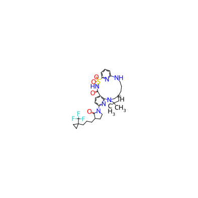 CC1(C)C[C@@H]2CCCNc3cccc(n3)S(=O)(=O)NC(=O)c3ccc(N4CCC(CCCC5(C(F)(F)F)CC5)C4=O)nc3N1C2